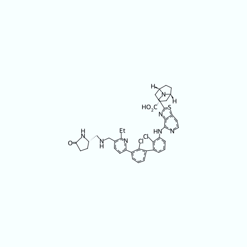 CCc1nc(-c2cccc(-c3cccc(Nc4nccc5sc(CN6[C@@H]7CC[C@H]6C[C@@H](C(=O)O)C7)nc45)c3Cl)c2Cl)ccc1CNC[C@@H]1CCC(=O)N1